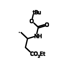 [CH2]C(CC(=O)OCC)NC(=O)OC(C)(C)C